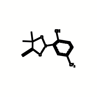 C=C1OB(c2cc(C(F)(F)F)ccc2O)OC1(C)C